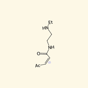 CCNCCNC(=O)/C=C\C(C)=O